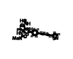 CNC(=O)NC(C)(C(F)F)C(NC(=O)c1ccc(C#CC#Cc2ccns2)cc1)C(=O)NO